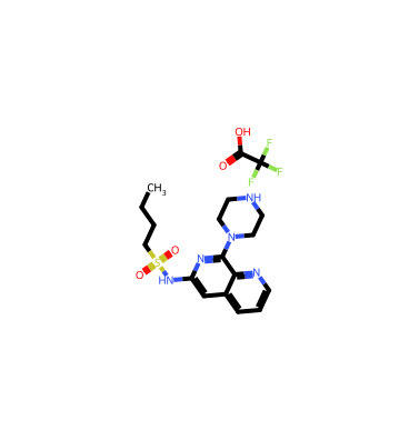 CCCCS(=O)(=O)Nc1cc2cccnc2c(N2CCNCC2)n1.O=C(O)C(F)(F)F